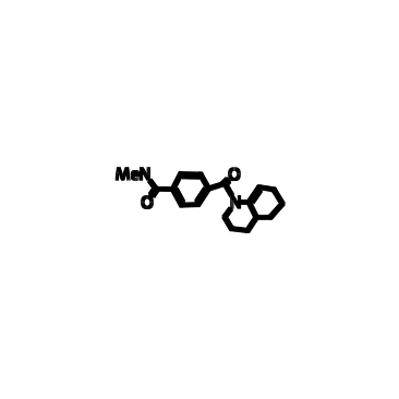 CNC(=O)c1ccc(C(=O)N2CCCC3CCCC=C32)cc1